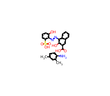 Cc1ccc(N)c(C)c1.O=C(O)c1cc2ccccc2c(N=Nc2c(O)cccc2S(=O)(=O)O)c1O